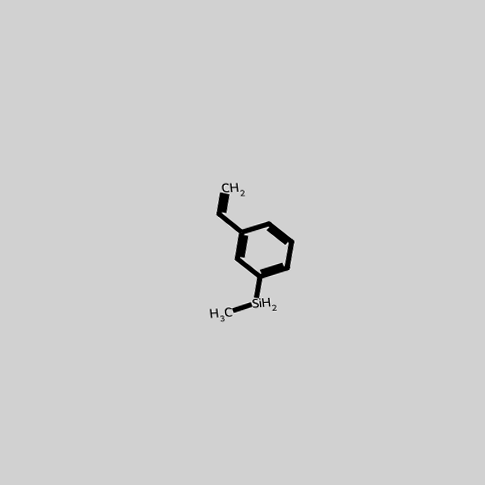 C=Cc1cccc([SiH2]C)c1